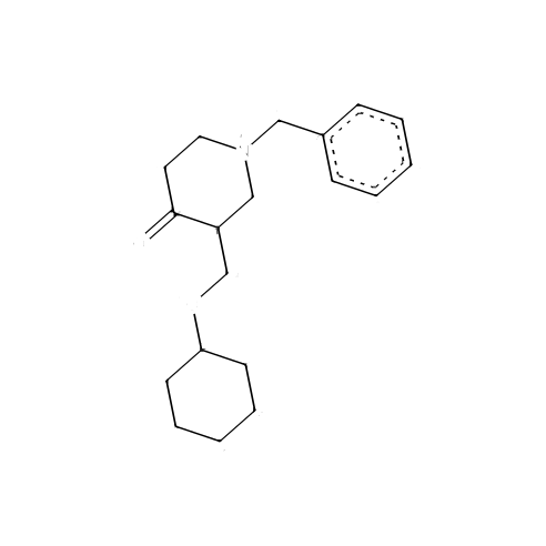 O=C1CCN(Cc2ccccc2)CC1COC1CCCCC1